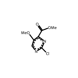 COC(=O)c1nc(Cl)ncc1OC